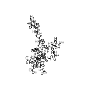 CNC(=O)OCCSSC[C@@H](NC(=O)[C@H](CCC(C)=O)NC(=O)[C@@H](CCC(=O)O)NC(=O)[C@H](CCC(C)=O)NC(=O)[C@@H](CCC(=O)O)NC(=O)[C@H](CCC(=O)NC[C@H](O)[C@@H](O)[C@H](O)[C@H](O)CO)NC(=O)CC[C@@H](NC(=O)c1ccc(NCc2cnc3nc(N)[nH]c(=O)c3n2)cc1)C(=O)O)C(=O)O